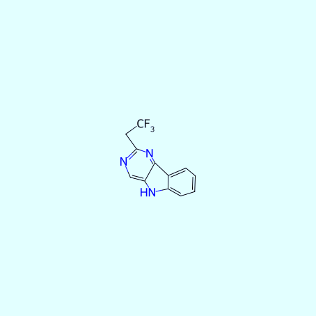 FC(F)(F)Cc1ncc2[nH]c3ccccc3c2n1